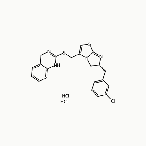 Cl.Cl.Clc1cccc(C[C@H]2CN3C(CSC4=NCc5ccccc5N4)=CSC3=N2)c1